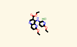 CCOC(=O)c1cnc2ccc(OCC)nc2c1Nc1ccc(OCC)nc1.Cl